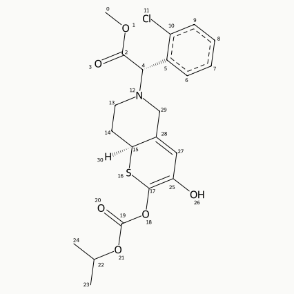 COC(=O)[C@H](c1ccccc1Cl)N1CC[C@@H]2SC(OC(=O)OC(C)C)=C(O)C=C2C1